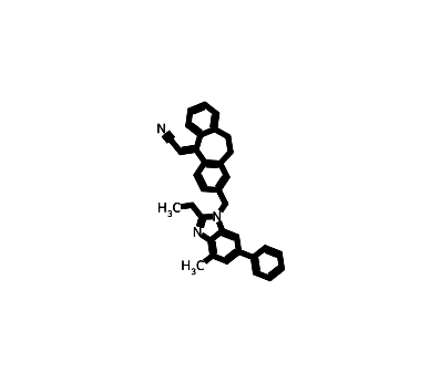 CCc1nc2c(C)cc(-c3ccccc3)cc2n1Cc1ccc2c(c1)CCc1ccccc1/C2=C\C#N